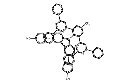 N#Cc1ccc(-c2ccc3c(c2)c2cc(-c4ccc(C#N)cc4)ccc2n3-c2c(-c3cc(-c4ccccc4)nc(-c4ccccc4)n3)cc(C(F)(F)F)cc2-c2cc(-c3ccccc3)nc(-c3ccccc3)n2)cc1